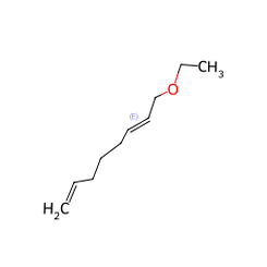 C=CCCC/C=C/COCC